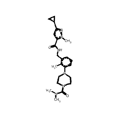 Cc1c(CNC(=O)c2cc(C3CC3)nn2C)cccc1N1CCN(C(=O)N(C)C)CC1